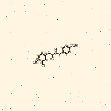 CC(C)(C)c1ccc(CNC(=O)Cc2ccc(Cl)c(Cl)c2)cn1